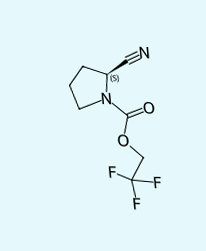 N#C[C@@H]1CCCN1C(=O)OCC(F)(F)F